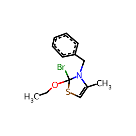 CCOC1(Br)SC=C(C)N1Cc1ccccc1